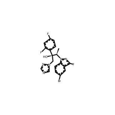 C[C@@H](n1nc(F)c2cc(Br)ccc21)[C@](O)(Cn1cncn1)c1ccc(F)cc1F